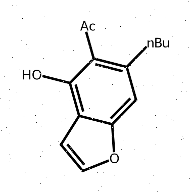 CCCCc1cc2occc2c(O)c1C(C)=O